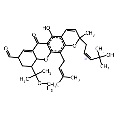 COC(C)(C)C1CC(C=O)C=C2C(=O)c3c(O)c4c(c(CC=C(C)C)c3OC21)OC(C)(C/C=C\C(C)(C)O)C=C4